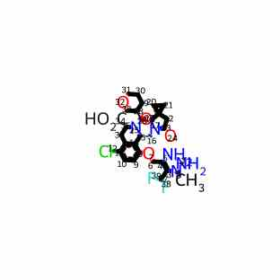 CN(N)/C(=C(\N)COc1ccc(Cl)c2c1[C@@H](CN1CC3(CC3)CC1=O)N(C(=O)[C@@H]1CCCO[C@@H]1C(=O)O)CC2)C(F)F